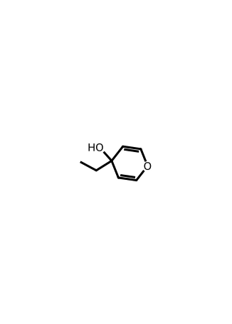 CCC1(O)C=COC=C1